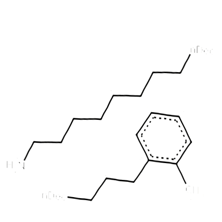 CCCCCCCCCCCCCCCCCCN.CCCCCCCCCCCCCc1ccccc1C